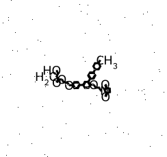 C=C(CO)C(=O)OCCOc1ccc(-c2ccc(OCCCN3C(=O)C=CC3=O)c(-c3ccc(C4CCC(C)CC4)cc3)c2)cc1